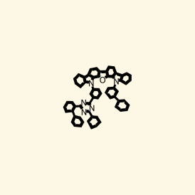 c1ccc(-c2cccc(-n3c4ccccc4c4ccc5c6ccc7c8ccccc8n(-c8cccc(-c9nc(-c%10ccccc%10)nc(-c%10ccccc%10-c%10ccccc%10)n9)c8)c7c6oc5c43)c2)cc1